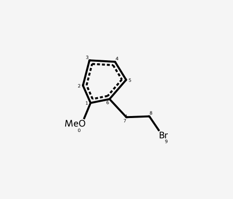 COc1ccccc1[CH]CBr